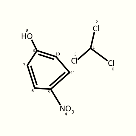 ClC(Cl)Cl.O=[N+]([O-])c1ccc(O)cc1